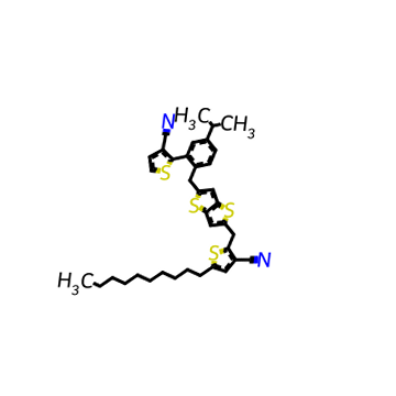 CCCCCCCCCCc1cc(C#N)c(Cc2cc3sc(Cc4ccc(C(C)C)cc4-c4sccc4C#N)cc3s2)s1